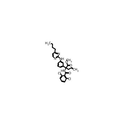 C=CCC(NC(=O)c1c(Cl)cccc1Cl)(C(=O)OC)c1cccc(Nc2nccc(CCCC)n2)c1